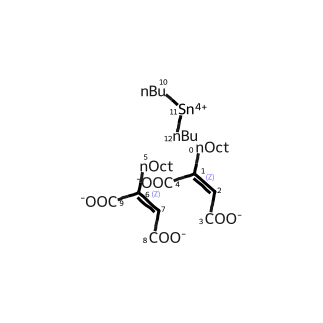 CCCCCCCC/C(=C/C(=O)[O-])C(=O)[O-].CCCCCCCC/C(=C/C(=O)[O-])C(=O)[O-].CCC[CH2][Sn+4][CH2]CCC